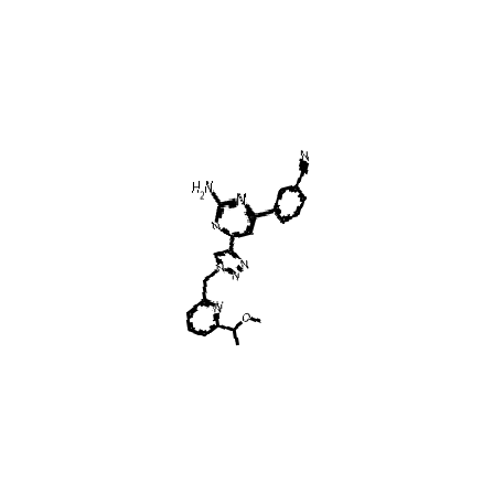 COC(C)c1cccc(Cn2cc(-c3cc(-c4cccc(C#N)c4)nc(N)n3)nn2)n1